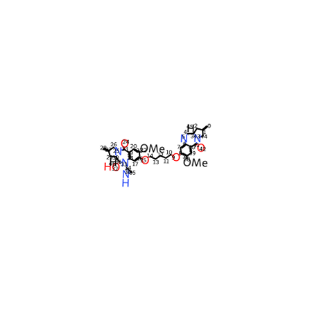 C=C1C[C@H]2C=Nc3cc(OCCCCCOc4cc5c(cc4OC)C(=O)N4CC(=C)C[C@H]4C(O)N5C4CN4)c(OC)cc3C(=O)N2C1